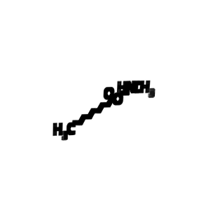 CCCCCCCCCC(=O)OCCNC